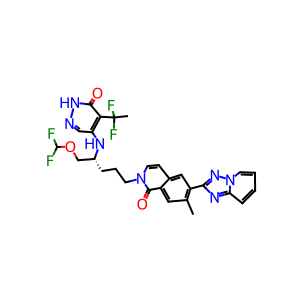 Cc1cc2c(=O)n(CCC[C@H](COC(F)F)Nc3cn[nH]c(=O)c3C(C)(F)F)ccc2cc1-c1nc2ccccn2n1